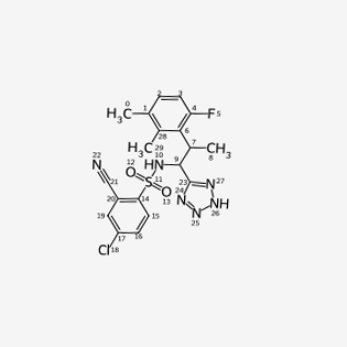 Cc1ccc(F)c(C(C)C(NS(=O)(=O)c2ccc(Cl)cc2C#N)c2nn[nH]n2)c1C